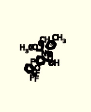 COCC(COC)N(c1cc(F)c(Oc2ccccc2C(F)(F)F)cc1C(=O)O)C(=O)[C@H]1CC[C@H](C)CC1